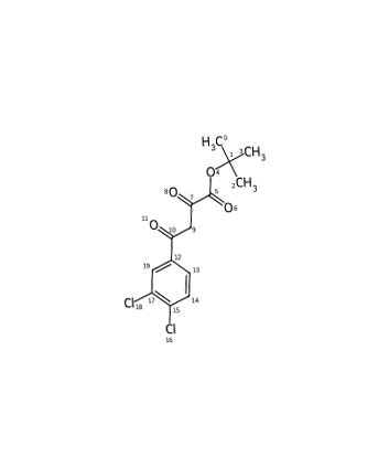 CC(C)(C)OC(=O)C(=O)CC(=O)c1ccc(Cl)c(Cl)c1